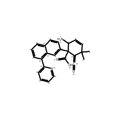 CC1(C)C=CC(N)C(C(=O)O)(c2ccc3cccc(-c4ccccn4)c3c2)C1=C=O